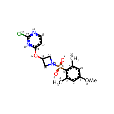 COc1cc(C)c(S(=O)(=O)N2CC(Oc3ccnc(Cl)n3)C2)c(C)c1